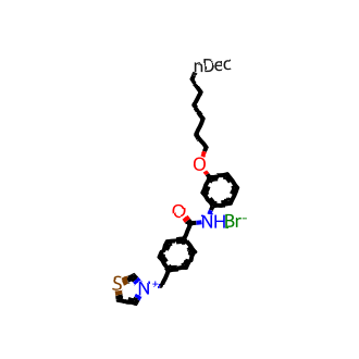 CCCCCCCCCCCCCCCCOc1cccc(NC(=O)c2ccc(C[n+]3ccsc3)cc2)c1.[Br-]